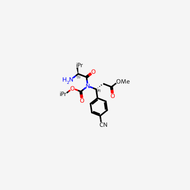 COC(=O)C[C@H](c1ccc(C#N)cc1)N(C(=O)OC(C)C)C(=O)[C@@H](N)C(C)C